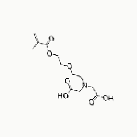 C=C(C)C(=O)OCCOCCN(CC(=O)O)CC(=O)O